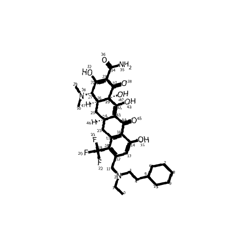 CCN(CCC1CCCCC1)Cc1cc(O)c2c(c1C(F)(F)F)C[C@H]1C[C@H]3[C@H](N(C)C)C(O)=C(C(N)=O)C(=O)[C@@]3(O)C(O)=C1C2=O